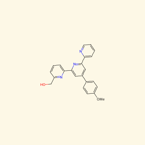 COc1ccc(-c2cc(-c3ccccn3)nc(-c3cccc(CO)n3)c2)cc1